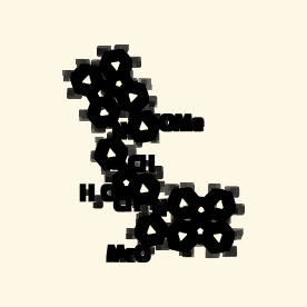 COc1ccc(N(c2cccc(C3(C)CC(C)(C)c4cc(N(c5ccc(OC)cc5)c5ccc6c(c5)C5(c7ccccc7-c7ccccc75)c5ccccc5-6)ccc43)c2)c2ccc3c(c2)C2(c4ccccc4-c4ccccc42)c2ccccc2-3)cc1